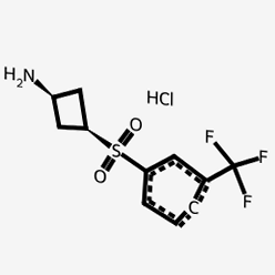 Cl.N[C@H]1C[C@@H](S(=O)(=O)c2cccc(C(F)(F)F)c2)C1